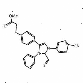 COC(=O)CCc1ccc(C2=CN(c3ccc(C#N)cc3)C(C=S)N2c2ccccc2)cc1